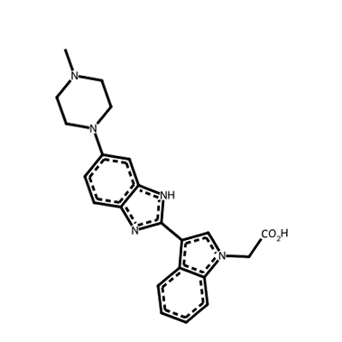 CN1CCN(c2ccc3nc(-c4cn(CC(=O)O)c5ccccc45)[nH]c3c2)CC1